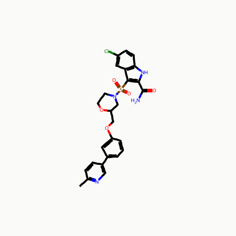 Cc1ccc(-c2cccc(OCC3CN(S(=O)(=O)c4c(C(N)=O)[nH]c5ccc(Cl)cc45)CCO3)c2)cn1